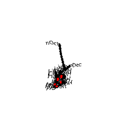 CCCCCCCC/C=C\CCCCCCCCCCCCCCCC(=O)N[C@@H](CO[C@@H]1OC(CO)[C@@H](O[C@@H]2OC(CO)[C@H](O)[C@H](O[C@@H]3OC(CO)[C@@H](O[C@H]4OC(C)[C@@H](O)C(O)[C@@H]4O)[C@H](O[C@@H]4OC(CO)[C@H](O)[C@H](O[C@@H]5OC(CO)[C@@H](O)[C@H](O[C@H]6OC(C)[C@@H](O)C(O)[C@@H]6O)C5NC(C)=O)C4O)C3NC(C)=O)C2O)[C@H](O)C1O)[C@H](O)/C=C/CCCCCCCCCCCCC